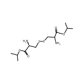 CC(C)OC(=O)C(N)CSSC[C@H](N)C(=O)OC(C)C